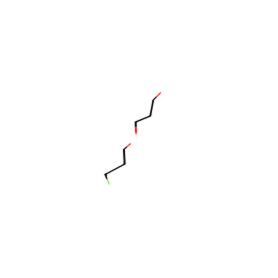 [O]CCCOCCCF